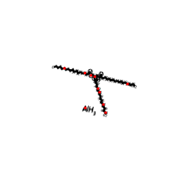 CCCCCCCCCCCCCCCCCC(=O)OCC(COC(=O)CCCCCCCCCCCCCCCCC)OC(=O)CCCCCCCCCCCCCCCCC.[AlH3].[AlH3]